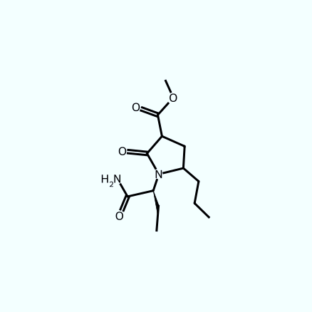 CCCC1CC(C(=O)OC)C(=O)N1[C@@H](CC)C(N)=O